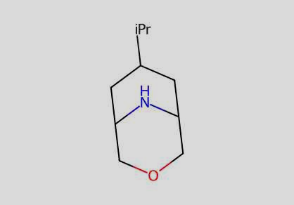 CC(C)C1CC2COCC(C1)N2